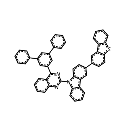 c1ccc(-c2cc(-c3ccccc3)cc(-c3nc(-n4c5ccccc5c5cc(-c6ccc7sc8ccccc8c7c6)ccc54)nc4ccccc34)c2)cc1